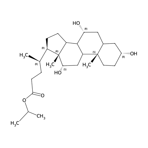 CC(C)OC(=O)CC[C@@H](C)[C@H]1CCC2C3C(C[C@H](O)[C@@]21C)[C@@]1(C)CC[C@@H](O)CC1C[C@H]3O